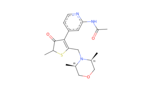 CC(=O)Nc1cc(C2=C(CN3[C@H](C)COC[C@@H]3C)SC(C)C2=O)ccn1